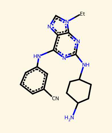 CCn1cnc2c(Nc3cccc(C#N)c3)nc(NC3CCC(N)CC3)nc21